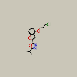 CC(C)c1nnc(-c2cc3c(OCCCCl)cccc3o2)o1